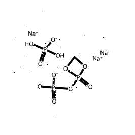 O=P([O-])(O)O.O=P([O-])([O-])OP1(=O)OCO1.[Na+].[Na+].[Na+]